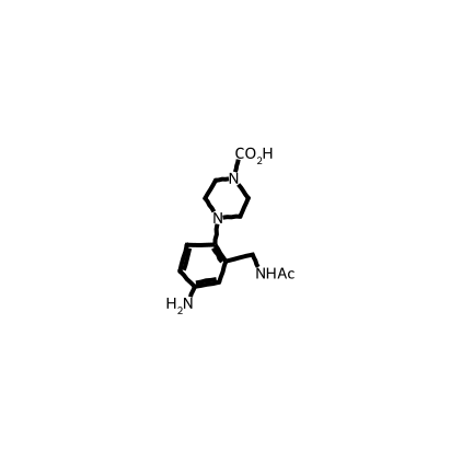 CC(=O)NCc1cc(N)ccc1N1CCN(C(=O)O)CC1